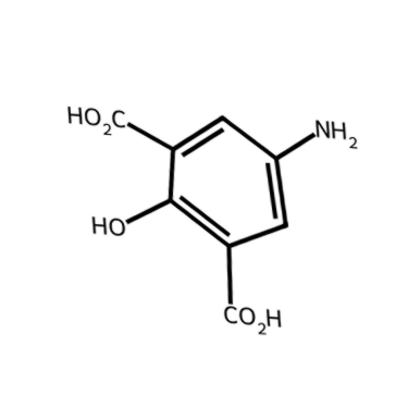 Nc1cc(C(=O)O)c(O)c(C(=O)O)c1